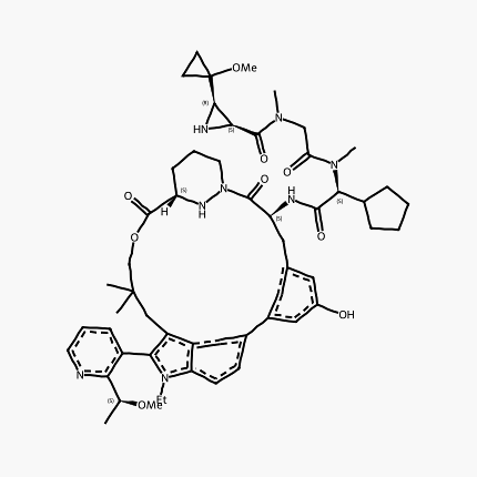 CCn1c(-c2cccnc2[C@H](C)OC)c2c3cc(ccc31)-c1cc(O)cc(c1)C[C@H](NC(=O)[C@H](C1CCCC1)N(C)C(=O)CN(C)C(=O)[C@H]1N[C@H]1C1(OC)CC1)C(=O)N1CCC[C@H](N1)C(=O)OCC(C)(C)C2